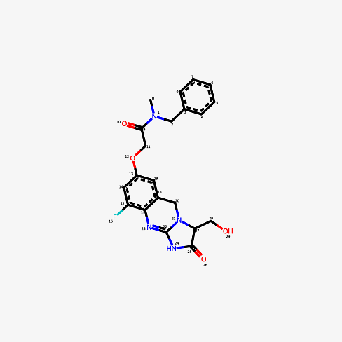 CN(Cc1ccccc1)C(=O)COc1cc(F)c2c(c1)CN1C(=N2)NC(=O)C1CO